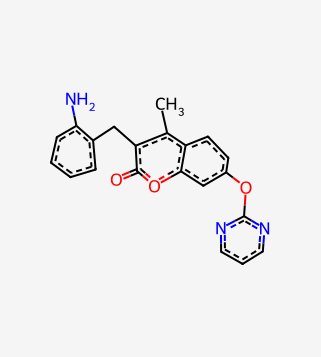 Cc1c(Cc2ccccc2N)c(=O)oc2cc(Oc3ncccn3)ccc12